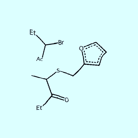 CCC(=O)C(C)SCc1ccco1.CCC(Br)C(C)=O